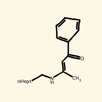 CCCCCCCCN/C(C)=C/C(=O)c1ccccc1